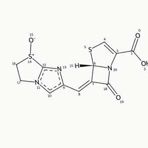 O=C(O)C1=CS[C@H]2/C(=C\c3cn4c(n3)[S+]([O-])CC4)C(=O)N12